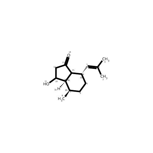 CC(C)=C[C@@H]1CC[C@@H](C)[C@H]2C(O)CC(=O)C21